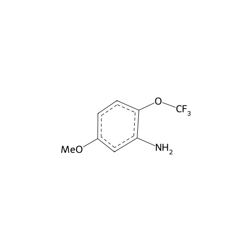 COc1ccc(OC(F)(F)F)c(N)c1